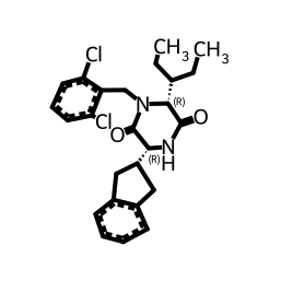 CCC(CC)[C@@H]1C(=O)N[C@H](C2Cc3ccccc3C2)C(=O)N1Cc1c(Cl)cccc1Cl